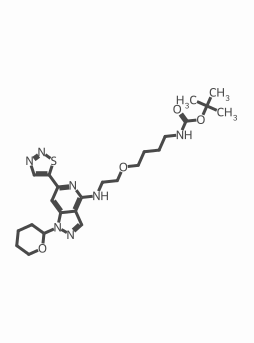 CC(C)(C)OC(=O)NCCCCOCCNc1nc(-c2cnns2)cc2c1cnn2C1CCCCO1